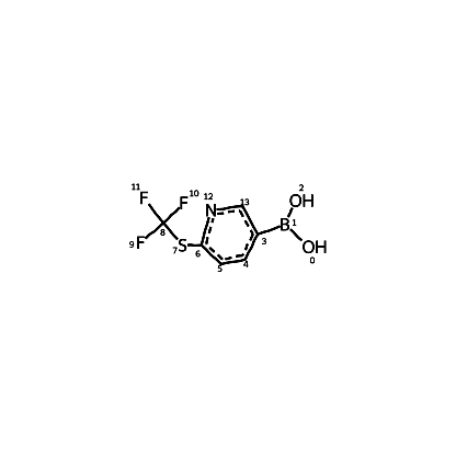 OB(O)c1ccc(SC(F)(F)F)nc1